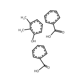 Cc1cccc(O)c1C.O=C(O)c1ccccc1.O=C(O)c1ccccc1